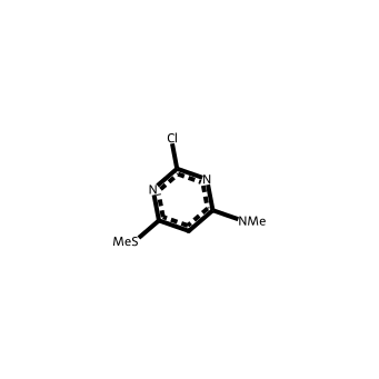 CNc1cc(SC)nc(Cl)n1